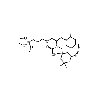 CO[Si](CCCOCC(CN1CCCCC1C)N(CC1(C)CC(N=C=O)CC(C)(C)C1)C(=O)O)(OC)OC